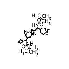 CC(C)(C)OC(=O)N[C@H](c1cn2ncc([C@H](N[S@@+]([O-])C(C)(C)C)C3CCC3)cc2n1)C1CCC(F)(F)CC1